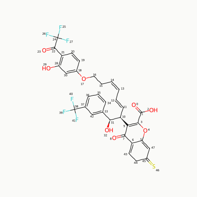 O=C(O)c1oc2c(c(=O)c1[C@H](/C=C/C=C\CCOc1ccc(C(=O)C(F)(F)F)c(O)c1)[C@@H](O)c1cccc(C(F)(F)F)c1)=CCC(=S)C=2